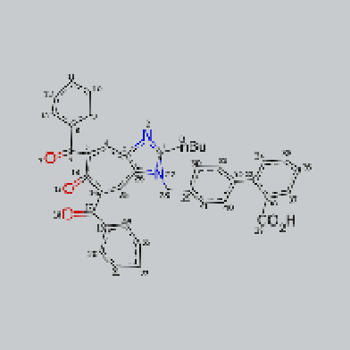 CCCCc1nc2cc(C(=O)c3ccccc3)c(=O)c(C(=O)c3ccccc3)cc2n1Cc1ccc(-c2ccccc2C(=O)O)cc1